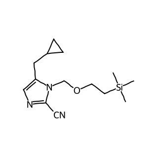 C[Si](C)(C)CCOCn1c(CC2CC2)cnc1C#N